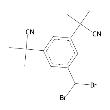 CC(C)(C#N)c1cc(C(Br)Br)cc(C(C)(C)C#N)c1